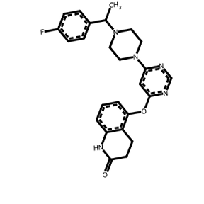 CC(c1ccc(F)cc1)N1CCN(c2cc(Oc3cccc4c3CCC(=O)N4)ncn2)CC1